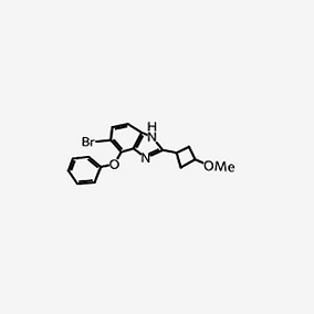 COC1CC(c2nc3c(Oc4ccccc4)c(Br)ccc3[nH]2)C1